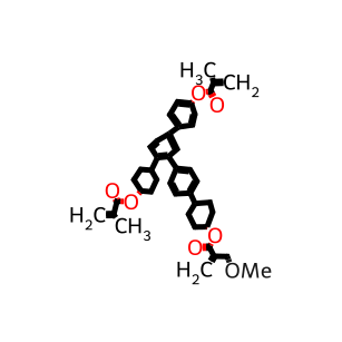 C=C(C)C(=O)Oc1ccc(-c2ccc(C3CCC(OC(=O)C(=C)C)CC3)c(-c3ccc(C4CCC(OC(=O)C(=C)COC)CC4)cc3)c2)cc1